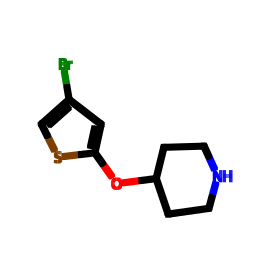 Brc1csc(OC2CCNCC2)c1